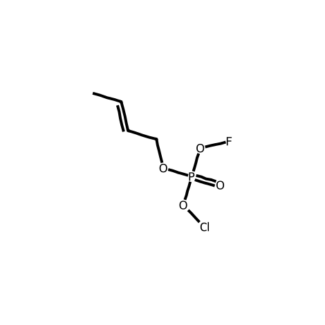 CC=CCOP(=O)(OF)OCl